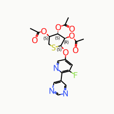 CC(=O)O[C@@H]1[C@@H](OC(C)=O)[C@@H](Oc2cnc(-c3cncnc3)c(F)c2)SC[C@H]1OC(C)=O